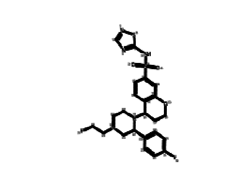 O=S(=O)(Nc1ncns1)c1ccc2c(c1)OCCC2N1CCN(CCF)CC1c1ccc(F)cc1